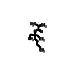 C=C(C)C(=O)OC(CC)(CC)CCCCC